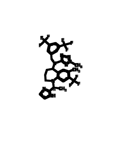 Cc1cc2c(cc1C(F)(F)F)N([C@@H](C)c1ncc[nH]1)CCCC2N(Cc1cc(C(F)(F)F)cc(C(F)(F)F)c1)c1nnn(C)n1